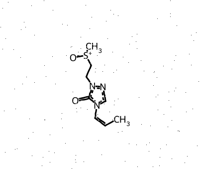 C/C=C\n1cnn(CC[S+](C)[O-])c1=O